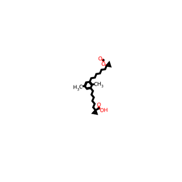 Cc1cc(CCCCCCC2(OC=O)CC2)c(C)c(CCCCCCC2(C(=O)O)CC2)c1